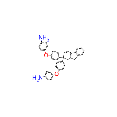 Nc1ccc(Oc2ccc(C3(c4ccc(Oc5ccc(N)cc5)cc4)C=CC4=C(Cc5ccccc54)C3)cc2)cc1